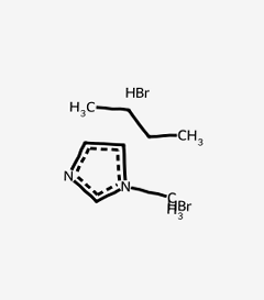 Br.Br.CCCC.Cn1ccnc1